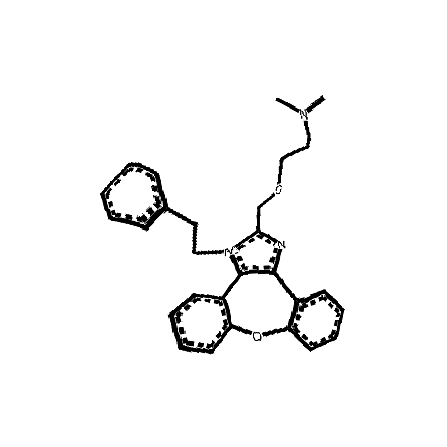 CN(C)CCOCc1nc2c(n1CCc1ccccc1)-c1ccccc1Oc1ccccc1-2